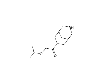 CC(C)OCC(=O)C1CC2CNCC(C2)C1